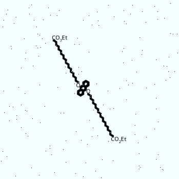 CCOC(=O)CCCCCCCCCCCCCCCCCCCCOc1c2ccccc2c(OCCCCCCCCCCCCCCCCCCCCC(=O)OCC)c2ccccc12